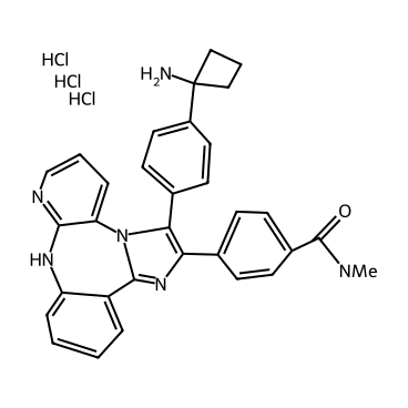 CNC(=O)c1ccc(-c2nc3n(c2-c2ccc(C4(N)CCC4)cc2)-c2cccnc2Nc2ccccc2-3)cc1.Cl.Cl.Cl